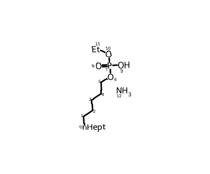 CCCCCCCCCCCCOP(=O)(O)OCC.N